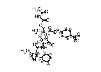 CC(=O)NC(=O)OC[C@]1(C)S[C@@H]2[C@H](NC(=O)c3c(-c4ccccc4)noc3C)C(=O)N2[C@H]1C(=O)OCc1ccc([N+](=O)[O-])cc1